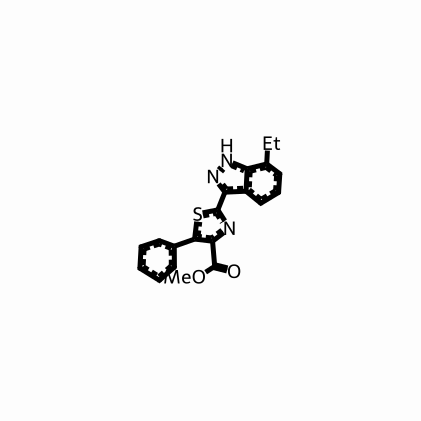 CCc1cccc2c(-c3nc(C(=O)OC)c(-c4ccccc4)s3)n[nH]c12